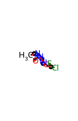 Cc1ccc2nc(CN3CCN(c4cccc(OCc5ccc(Cl)cc5F)n4)CC3)n(CC3CCO3)c2c1